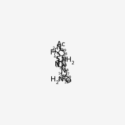 CC(=O)N1CC(C)(F)C2=C(Sc3ncc(N4CCC5(CC4)COCC5N)nc3N)CCC=C21